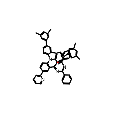 Cc1cc(C)cc(-c2ccc3c(c2)c2cc(-c4cc(C)cc(C)c4)ccc2n3-c2ccc(-c3ccccn3)cc2-c2nc(-c3ccccc3)nc(-c3ccccc3)n2)c1